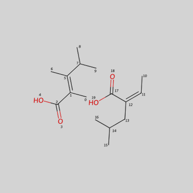 CC(C(=O)O)=C(C)C(C)C.CC=C(CC(C)C)C(=O)O